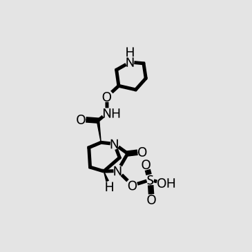 O=C(NOC1CCCNC1)[C@@H]1CC[C@@H]2CN1C(=O)N2OS(=O)(=O)O